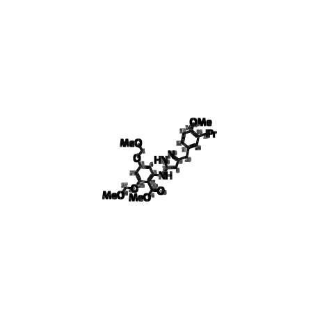 COCOc1cc(Nc2cc(Cc3ccc(OC)c(C(C)C)c3)n[nH]2)c(C(=O)OC)c(OCOC)c1